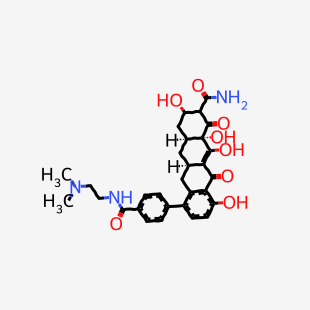 CN(C)CCNC(=O)c1ccc(-c2ccc(O)c3c2C[C@H]2C[C@H]4CC(O)C(C(N)=O)C(=O)[C@@]4(O)C(O)=C2C3=O)cc1